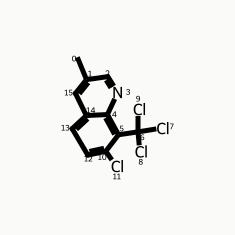 Cc1cnc2c(C(Cl)(Cl)Cl)c(Cl)ccc2c1